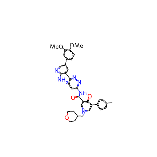 COc1ccc(-c2cnc(N)c(-c3ccc(NC(=O)c4cn(CC5CCOCC5)cc(-c5ccc(C)cc5)c4=O)nn3)c2)cc1OC